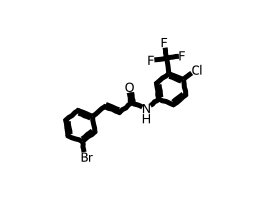 O=C(C=Cc1cccc(Br)c1)Nc1ccc(Cl)c(C(F)(F)F)c1